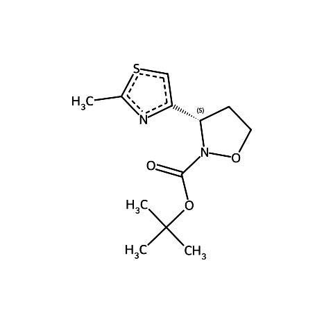 Cc1nc([C@@H]2CCON2C(=O)OC(C)(C)C)cs1